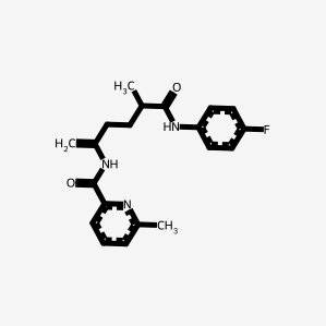 C=C(CCC(C)C(=O)Nc1ccc(F)cc1)NC(=O)c1cccc(C)n1